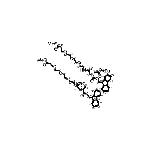 COC(=O)CCOCCOCCOCCNC(=O)CN(CC(=O)O)C(=O)OCC1c2ccccc2-c2ccccc21.COC(=O)CCOCCOCCOCCNC(=O)CN(CC(=O)OC(C)(C)C)C(=O)OCC1c2ccccc2-c2ccccc21